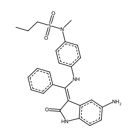 CCCS(=O)(=O)N(C)c1ccc(NC(=C2C(=O)Nc3ccc(N)cc32)c2ccccc2)cc1